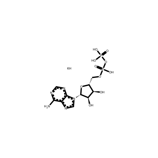 Nc1ncnc2c1ncn2[C@@H]1O[C@H](COP(=O)(O)OP(=O)(O)O)[C@@H](O)[C@H]1O.[KH]